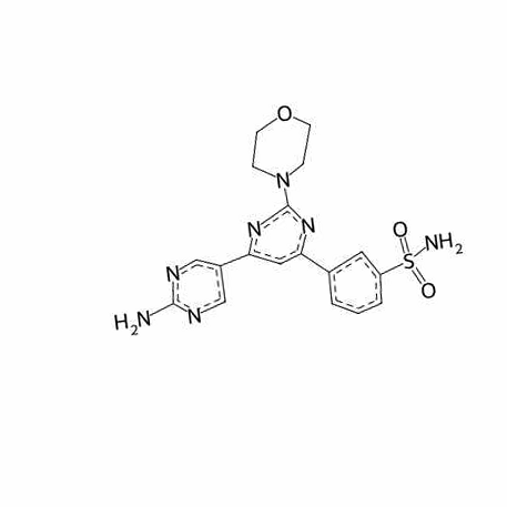 Nc1ncc(-c2cc(-c3cccc(S(N)(=O)=O)c3)nc(N3CCOCC3)n2)cn1